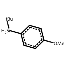 COc1ccc([SiH2]C(C)(C)C)cc1